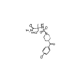 CC(CO)(NS(=O)(=O)N1CCC(C(=O)c2ccc(Cl)cc2)CC1)C(N)=O